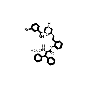 O=C(O)N[C@H](C(=O)Nc1ccccc1CC[C@@H]1CNC[C@@H](C(S)c2cccc(Br)c2)O1)C(c1ccccc1)c1ccccc1